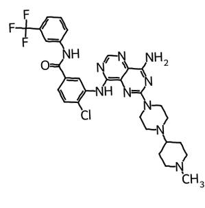 CN1CCC(N2CCN(c3nc(N)c4ncnc(Nc5cc(C(=O)Nc6cccc(C(F)(F)F)c6)ccc5Cl)c4n3)CC2)CC1